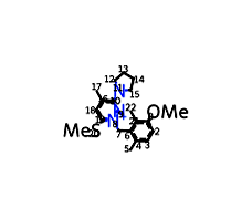 COc1ccc(C)c(C[n+]2nc(N3CCCC3)c(C)cc2SC)c1C